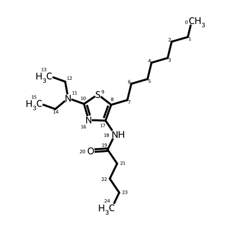 CCCCCCCCc1sc(N(CC)CC)nc1NC(=O)CCCC